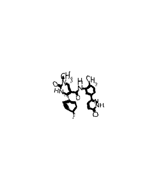 Cc1ccc(-c2ccc(=O)[nH]n2)cc1NC(=O)C1=CN(C)C(=O)N[C@H]1c1ccc(F)cc1